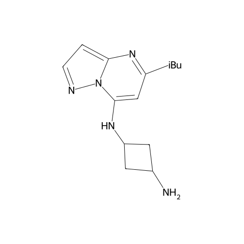 CCC(C)c1cc(NC2CC(N)C2)n2nccc2n1